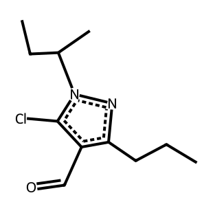 CCCc1nn(C(C)CC)c(Cl)c1C=O